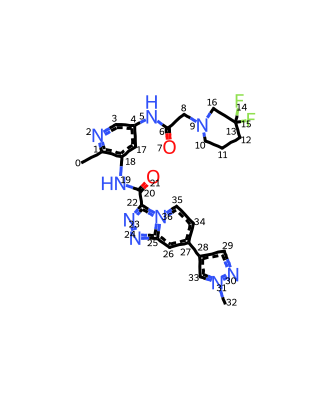 Cc1ncc(NC(=O)CN2CCCC(F)(F)C2)cc1NC(=O)c1nnc2cc(-c3cnn(C)c3)ccn12